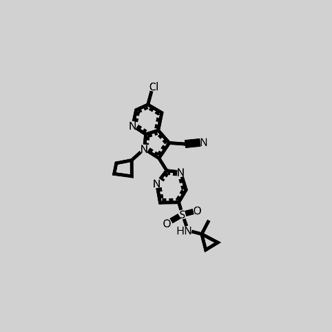 CC1(NS(=O)(=O)c2cnc(-c3c(C#N)c4cc(Cl)cnc4n3C3CCC3)nc2)CC1